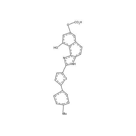 CC(C)(C)c1ccc(-c2ccc(-c3nc4c(ccc5cc(OC(=O)O)cc(O)c54)[nH]3)s2)cc1